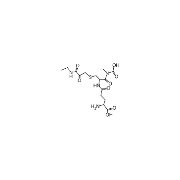 CCNC(=O)C(=O)CSCC(NC(=O)CCC(N)C(=O)O)C(=O)N(C)C(=O)O